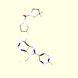 CCn1c(-c2cnc(C)nc2)nc2c(O[C@H]3CCN(C(=O)N4CCC(C)(C)C4)C3)ncnc21